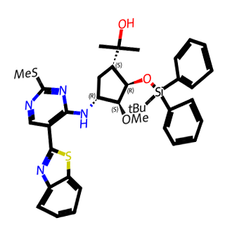 CO[C@@H]1[C@H](O[Si](c2ccccc2)(c2ccccc2)C(C)(C)C)[C@@H](C(C)(C)O)C[C@H]1Nc1nc(SC)ncc1-c1nc2ccccc2s1